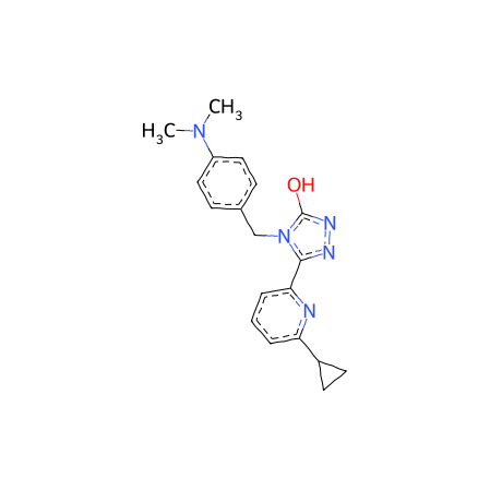 CN(C)c1ccc(Cn2c(O)nnc2-c2cccc(C3CC3)n2)cc1